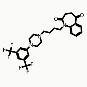 O=C1CCC(=O)N(CCCCN2CCN(c3cc(C(F)(F)F)cc(C(F)(F)F)c3)CC2)c2ccccc21